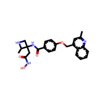 Cc1cc(COc2ccc(C(=O)NC3(CC(=O)NO)CNC3C)cc2)c2ccccc2n1